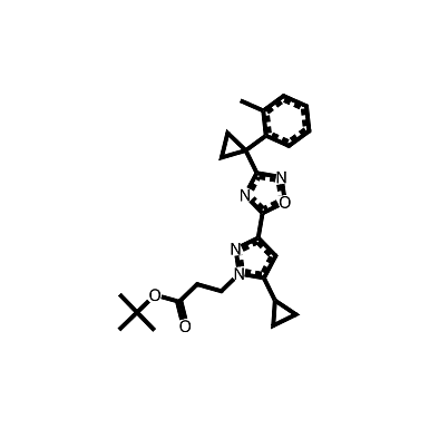 Cc1ccccc1C1(c2noc(-c3cc(C4CC4)n(CCC(=O)OC(C)(C)C)n3)n2)CC1